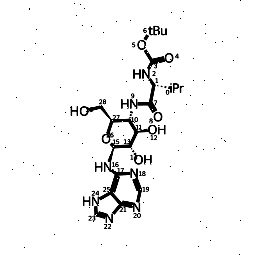 CC(C)[C@@H](NC(=O)OC(C)(C)C)C(=O)N[C@@H]1[C@@H](O)[C@H](O)[C@@H](Nc2ncnc3nc[nH]c23)O[C@H]1CO